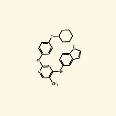 Cc1cnc(Nc2ccc(OC3CCCCC3)cc2)nc1Nc1ccc2[nH]ccc2c1